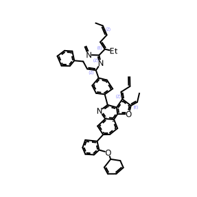 C=C/C=c1\c(=C/C)oc2c1c(-c1ccc(C(=C/Cc3ccccc3)/N=C(N=C)/C(=C/C=C\C)CC)cc1)nc1cc(-c3ccccc3OC3C=CC=CC3)ccc12